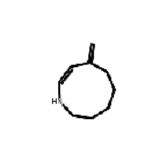 C=C1/C=C\NCCCCC1